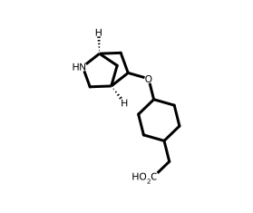 O=C(O)CC1CCC(OC2C[C@H]3C[C@@H]2CN3)CC1